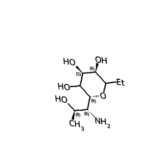 CCC1O[C@H]([C@H](N)[C@@H](C)O)C(O)[C@@H](O)[C@H]1O